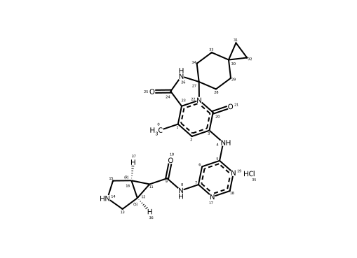 Cc1cc(Nc2cc(NC(=O)C3[C@H]4CNC[C@@H]34)ncn2)c(=O)n2c1C(=O)NC21CCC2(CC2)CC1.Cl